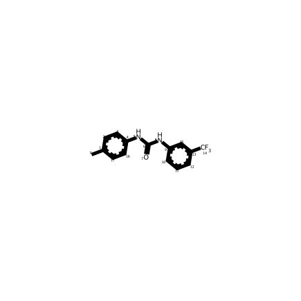 Cc1ccc(NC(=O)Nc2cccc(C(F)(F)F)c2)cc1